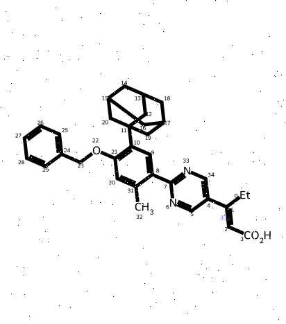 CC/C(=C\C(=O)O)c1cnc(-c2cc(C34CC5CC(CC(C5)C3)C4)c(OCc3ccccc3)cc2C)nc1